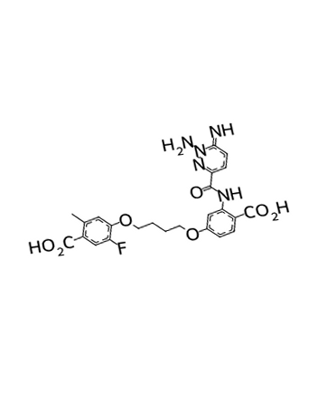 Cc1cc(OCCCCOc2ccc(C(=O)O)c(NC(=O)c3ccc(=N)n(N)n3)c2)c(F)cc1C(=O)O